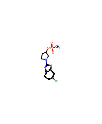 CS(=O)(=O)OC1CCN(c2nc3ccc(Br)cc3s2)C1